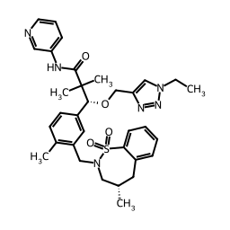 CCn1cc(CO[C@H](c2ccc(C)c(CN3C[C@@H](C)Cc4ccccc4S3(=O)=O)c2)C(C)(C)C(=O)Nc2cccnc2)nn1